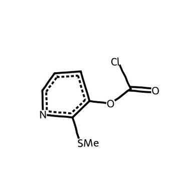 CSc1ncccc1OC(=O)Cl